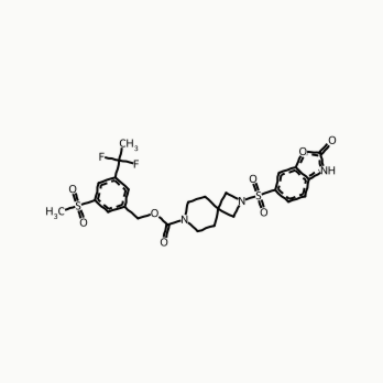 CC(F)(F)c1cc(COC(=O)N2CCC3(CC2)CN(S(=O)(=O)c2ccc4[nH]c(=O)oc4c2)C3)cc(S(C)(=O)=O)c1